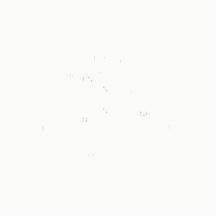 C=CCN(CC=C)c1cc(N)[n+](OS(=O)(=O)O)c(C(=O)C(=O)NCC)n1.[OH-]